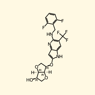 O[C@@H]1CO[C@H]2[C@@H]1OC[C@H]2Oc1cc2nc(NCc3c(F)cccc3F)c(C(F)(F)F)cc2[nH]1